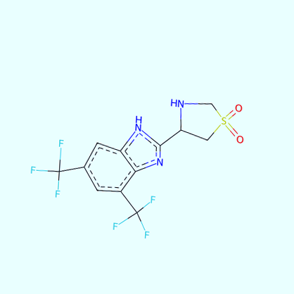 O=S1(=O)CNC(c2nc3c(C(F)(F)F)cc(C(F)(F)F)cc3[nH]2)C1